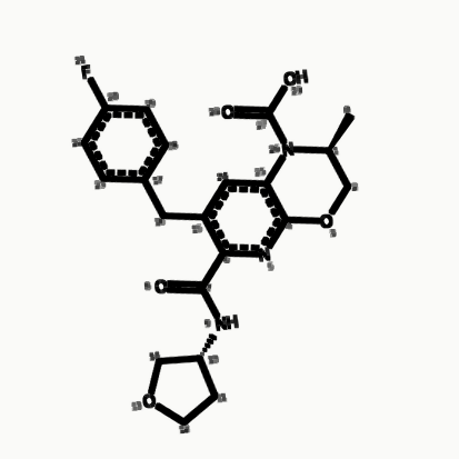 C[C@H]1COc2nc(C(=O)N[C@@H]3CCOC3)c(Cc3ccc(F)cc3)cc2N1C(=O)O